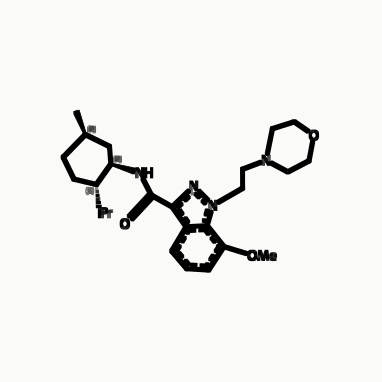 COc1cccc2c(C(=O)N[C@@H]3C[C@H](C)CC[C@H]3C(C)C)nn(CCN3CCOCC3)c12